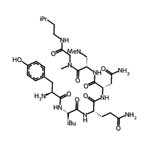 CC[C@H](C)[C@H](NC(=O)[C@@H](N)Cc1ccc(O)cc1)C(=O)N[C@@H](CCC(N)=O)C(=O)N[C@@H](CC(N)=O)C(=O)N[C@@H](CNC)C(=O)N(C)CC(=O)NCCC(C)C